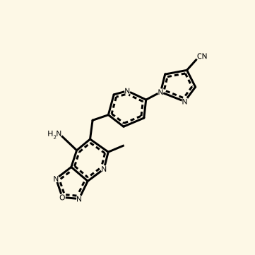 Cc1nc2nonc2c(N)c1Cc1ccc(-n2cc(C#N)cn2)nc1